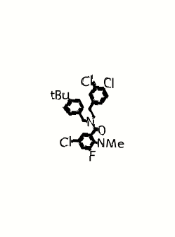 CNc1c(F)cc(Cl)cc1C(=O)N(CCc1ccc(Cl)c(Cl)c1)Cc1ccc(C(C)(C)C)cc1